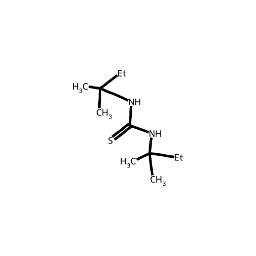 CCC(C)(C)NC(=S)NC(C)(C)CC